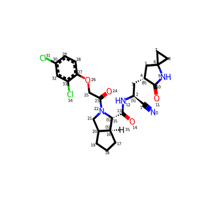 N#C[C@H](C[C@@H]1CC2(CC2)NC1=O)NC(=O)[C@@H]1[C@H]2CCCC2CN1C(=O)COc1ccc(Cl)cc1Cl